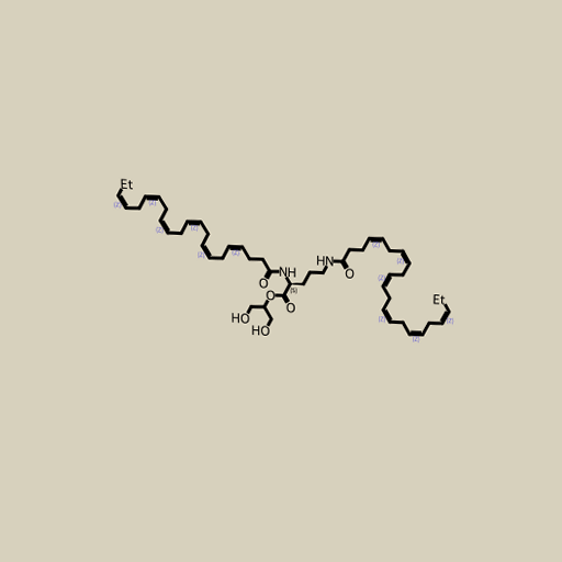 CC/C=C\C/C=C\C/C=C\C/C=C\C/C=C\C/C=C\CCC(=O)NCCC[C@H](NC(=O)CC/C=C\C/C=C\C/C=C\C/C=C\C/C=C\C/C=C\CC)C(=O)OC(CO)CO